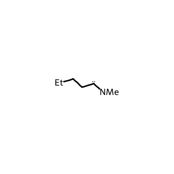 CCCC[C]NC